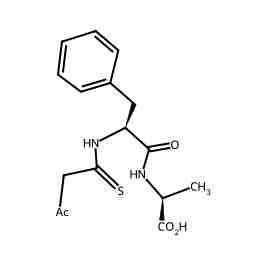 CC(=O)CC(=S)N[C@@H](Cc1ccccc1)C(=O)N[C@@H](C)C(=O)O